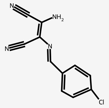 N#CC(N)=C(C#N)N=Cc1ccc(Cl)cc1